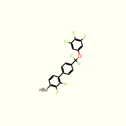 CCCCc1ccc(-c2ccc(C(F)(F)Oc3cc(F)c(F)c(F)c3)cc2)c(F)c1F